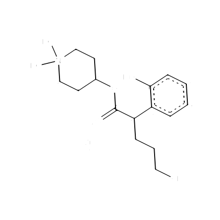 CCCCC(C(=O)OC1CC[N+](C)(C)CC1)c1ccccc1O.[Br-]